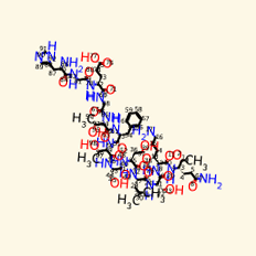 CC(=O)[C@H](CCC(N)=O)NC(=O)[C@H](CCCCN)NC(=O)[C@H](CO)NC(=O)[C@H](CC(C)C)NC(=O)[C@H](CC(=O)O)NC(=O)[C@H](CO)NC(=O)[C@@H](NC(=O)[C@H](Cc1ccccc1)NC(=O)[C@@H](NC(=O)CNC(=O)[C@H](CCC(=O)O)NC(=O)CNC(=O)[C@@H](N)Cc1cnc[nH]1)C(C)O)C(C)O